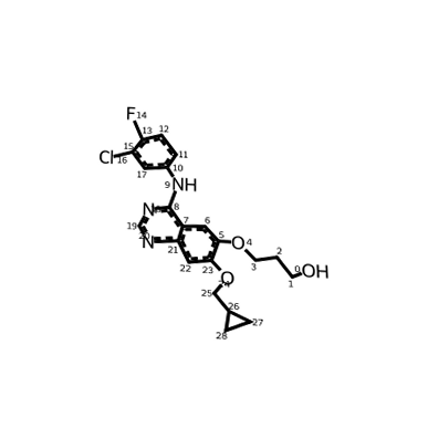 OCCCOc1cc2c(Nc3ccc(F)c(Cl)c3)ncnc2cc1OCC1CC1